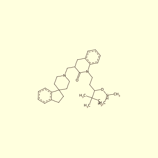 C[SiH](C)OC(CCN1C(=O)C(CN2CCC3(CCc4ccccc43)CC2)Cc2ccccc21)C(C)(C)C